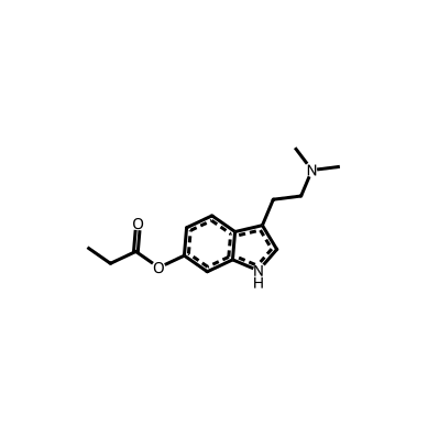 CCC(=O)Oc1ccc2c(CCN(C)C)c[nH]c2c1